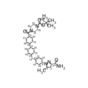 Cc1cc(C(N)=O)nn1-c1ccc(Cc2ccc(-c3ccc(C(=O)N4CCN(C(=O)OC(C)(C)C)CC4)cc3)cc2)cc1